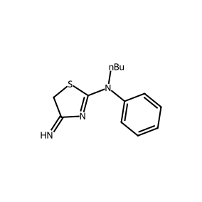 CCCCN(C1=NC(=N)CS1)c1ccccc1